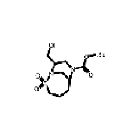 CC(C)(C)OC(=O)N1CC(CO)N2CC1CCCS2(=O)=O